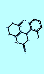 Cc1ccccc1C1CC(=O)OC2=C1C(=O)CCC2